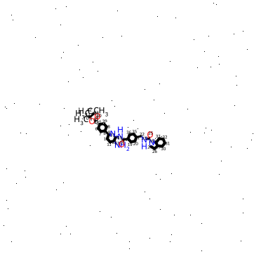 CC1(C)OB(c2ccc(-c3ccc(N)c(NC(=O)c4ccc(CNC(=O)n5ccc6ccccc65)cc4)n3)cc2)OC1(C)C